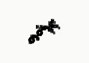 CC(C)(C)NC(=O)NCC(N)c1ccc(C(=O)Nc2ccncc2)cc1